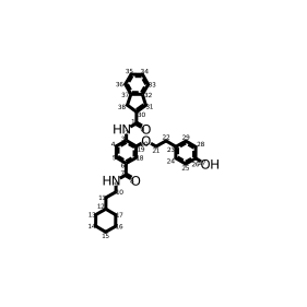 O=C(Nc1ccc(C(=O)NCCC2CCCCC2)cc1OCCc1ccc(O)cc1)C1=Cc2ccccc2C1